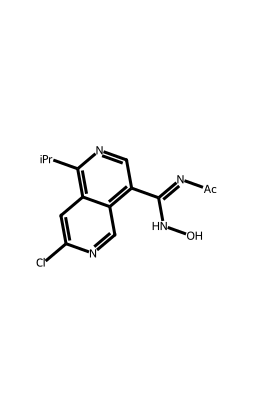 CC(=O)/N=C(\NO)c1cnc(C(C)C)c2cc(Cl)ncc12